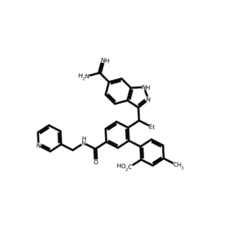 CCC(c1ccc(C(=O)NCc2cccnc2)cc1-c1ccc(C)cc1C(=O)O)c1n[nH]c2cc(C(=N)N)ccc12